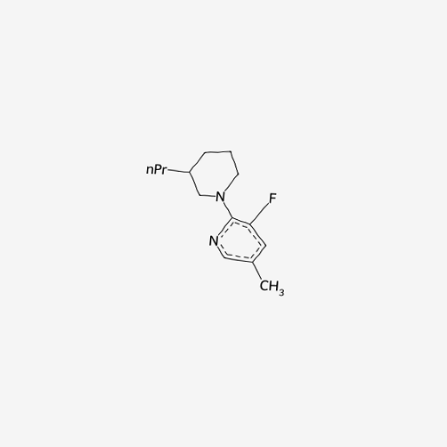 CCCC1CCCN(c2ncc(C)cc2F)C1